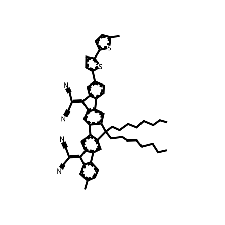 CCCCCCCCC1(CCCCCCCC)c2cc3c(cc2-c2cc4c(cc21)-c1ccc(-c2ccc(-c5ccc(C)s5)s2)cc1C4=C(C#N)C#N)C(=C(C#N)C#N)c1cc(C)ccc1-3